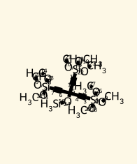 CO[Si](C#CC(C#C[Si](OC)(OC)OC)(C#C[Si](OC)(OC)OC)O[SiH3])(OC)OC